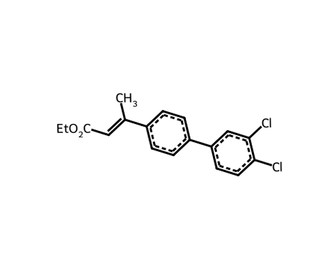 CCOC(=O)C=C(C)c1ccc(-c2ccc(Cl)c(Cl)c2)cc1